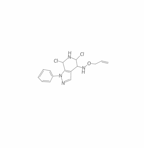 C=CCONC1c2cnn(-c3ccccc3)c2C(Cl)NC1Cl